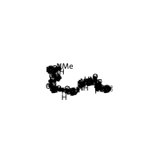 CN[C@@H](C)C(=O)N[C@H](C(=O)N1CCC[C@H]1c1nc(C(=O)c2cccc(OCCNC(=O)CN3CCN(CCNc4cc(N5CCC6(CC5)CN(c5cc(F)c(CN7CCC(C)(C)CC7)cc5F)CC(=O)N6)ncn4)CC3)c2)cs1)C1CCCCC1